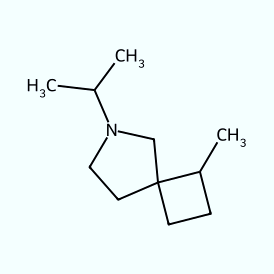 CC(C)N1CCC2(CCC2C)C1